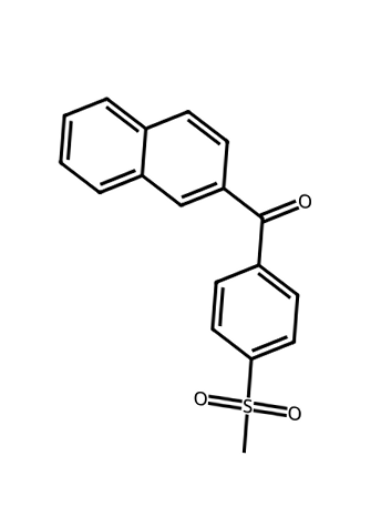 CS(=O)(=O)c1ccc(C(=O)c2ccc3ccccc3c2)cc1